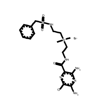 C[N+](C)(CCNC(=O)c1nc(Cl)c(N)nc1N)CCNS(=O)(=O)Cc1ccccc1.[Br-]